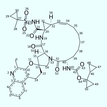 Cc1nc2ccccc2c2c1O[C@]1(CC2)C[C@H]2C(=O)N[C@]3(C(=O)NS(=O)(=O)C4(C)CC4)C[C@H]3/C=C\CCCCC[C@H](NC(=O)OC3(C4CC4)CC3)C(=O)N2C1